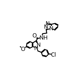 COc1ccc2c(C(=O)NCCc3nnc4ccccn34)nn(Cc3ccc(Cl)cc3)c2c1